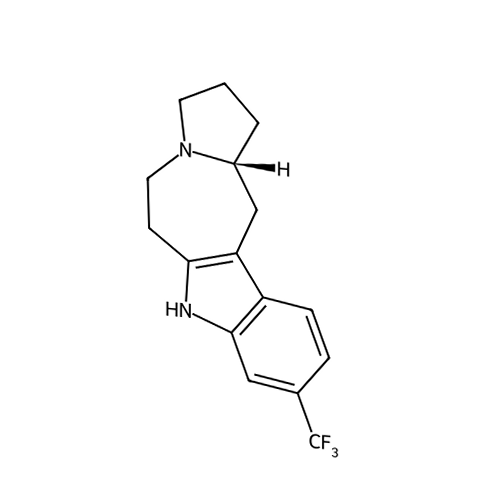 FC(F)(F)c1ccc2c3c([nH]c2c1)CCN1CCC[C@@H]1C3